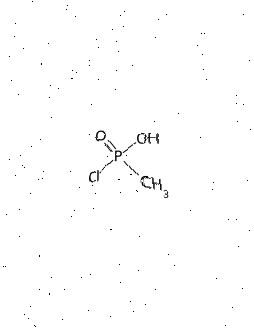 CP(=O)(O)Cl